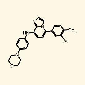 CC(=O)c1cc(-c2ccc(Nc3ccc(N4CCOCC4)cc3)c3nccn23)ccc1C